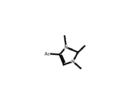 CC(=O)C1=CN(C)C(C)N1C